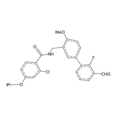 COc1ccc(-c2cccc(C=O)c2F)cc1CNC(=O)c1ccc(OC(C)C)cc1Cl